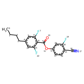 CCCCc1cc(F)c(C(=O)Oc2ccc(C#N)c(F)c2)c(F)c1